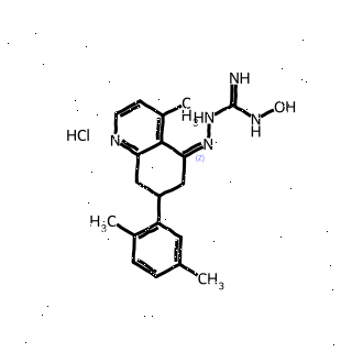 Cc1ccc(C)c(C2C/C(=N/NC(=N)NO)c3c(C)ccnc3C2)c1.Cl